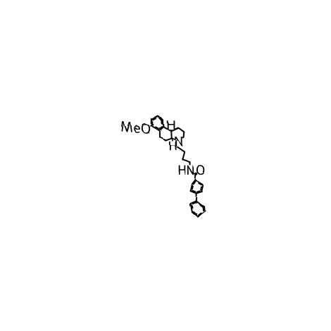 COc1cccc2c1CC[C@@H]1[C@@H]2CCCN1CCCCNC(=O)c1ccc(-c2ccccc2)cc1